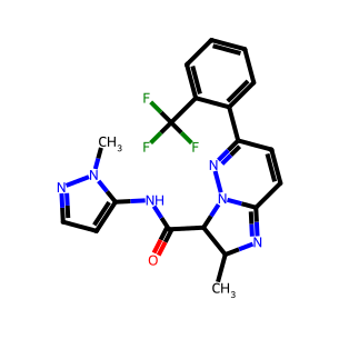 CC1N=C2C=CC(c3ccccc3C(F)(F)F)=NN2C1C(=O)Nc1ccnn1C